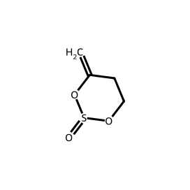 C=C1CCOS(=O)O1